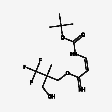 CC(C)(C)OC(=O)N/C=C\C(=N)OCC(C)(CO)C(F)(F)F